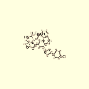 CCc1cccc(CC)c1-n1c(C=C(C)C)c(C(=O)N2CCNCC23COC3)cc(-c2nc(-c3ccc(Cl)cc3)cs2)c1=O